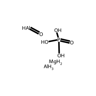 O=P(O)(O)O.[AlH3].[MgH2].[O]=[AlH]